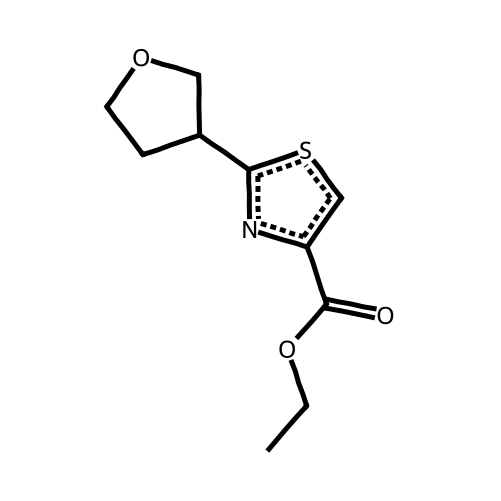 CCOC(=O)c1csc(C2CCOC2)n1